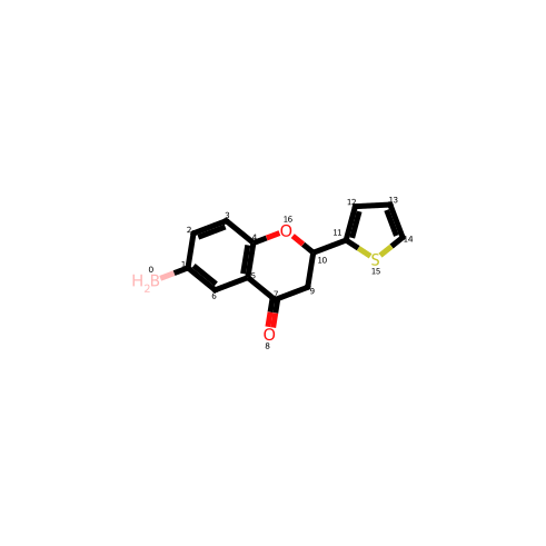 Bc1ccc2c(c1)C(=O)CC(c1cccs1)O2